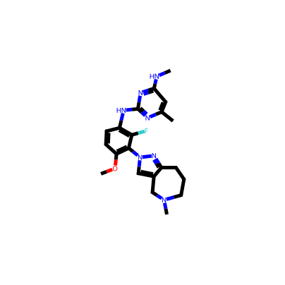 CNc1cc(C)nc(Nc2ccc(OC)c(-n3cc4c(n3)CCCN(C)C4)c2F)n1